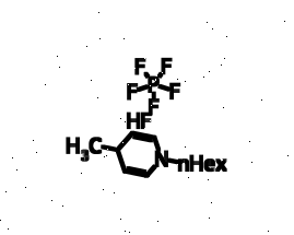 CCCCCCN1C=CC(C)C=C1.F.FP(F)(F)(F)F